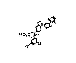 Cn1ccnc1-c1cc(-n2ccc3cc(N(CC(=O)O)S(=O)(=O)c4cc(Cl)cc(Cl)c4)ccc32)ncn1